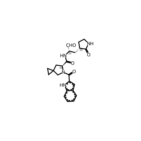 O=C[C@H](C[C@@H]1CCNC1=O)NC(=O)[C@@H]1CC2(CC2)CN1C(=O)c1cc2ccccc2[nH]1